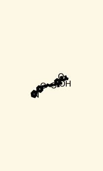 Cc1c(OCCCCOc2ccc(-c3ccccn3)cc2)ccc(C(=O)CC(C)C)c1O